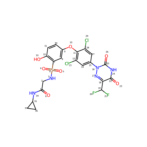 O=C(CNS(=O)(=O)c1cc(Oc2c(Cl)cc(-n3nc(C(F)F)c(=O)[nH]c3=O)cc2Cl)ccc1O)NC1CC1